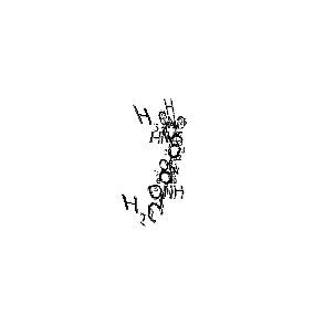 C=CC(=O)Nc1ccc2oc(-c3ccc4sc5c(c4c3)NC[C@@H](C)NC5=O)nc2c1